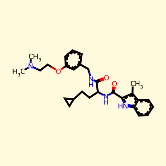 Cc1c(C(=O)NC(CCC2CC2)C(=O)NCc2cccc(OCCN(C)C)c2)[nH]c2ccccc12